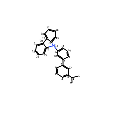 CC(C)c1cccc(-c2cccc(-n3c4ccccc4c4ccccc43)c2)c1